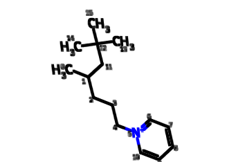 CC(CCC[n+]1ccccc1)CC(C)(C)C